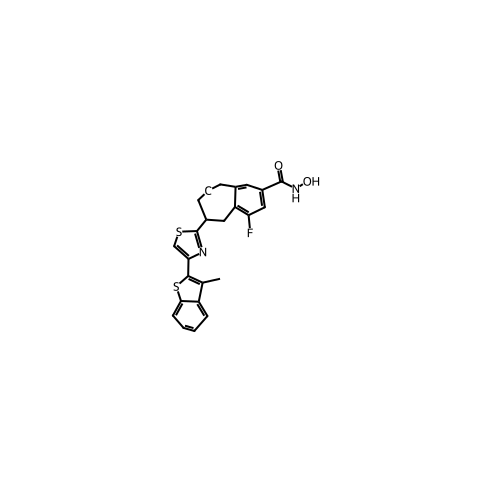 Cc1c(-c2csc(C3CCCc4cc(C(=O)NO)cc(F)c4C3)n2)sc2ccccc12